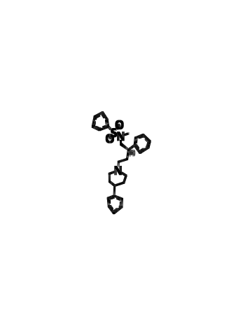 CN(C[C@H](CCN1CCC(c2ccccc2)CC1)c1ccccc1)S(=O)(=O)c1ccccc1